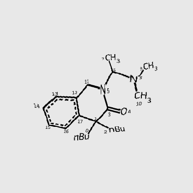 CCCCC1(CCCC)C(=O)N(C(C)N(C)C)Cc2ccccc21